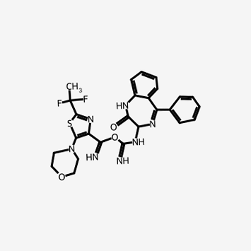 CC(F)(F)c1nc(C(=N)OC(=N)NC2N=C(c3ccccc3)c3ccccc3NC2=O)c(N2CCOCC2)s1